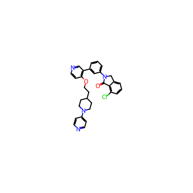 O=C1c2c(Cl)cccc2CN1c1cccc(-c2cnccc2OCCC2CCN(c3ccncc3)CC2)c1